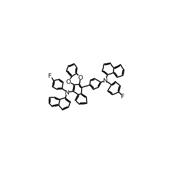 Fc1ccc(N(c2ccc(-c3c4c(c(N(c5ccc(F)cc5)c5cccc6ccccc56)c5ccccc35)Oc3ccccc3O4)cc2)c2cccc3ccccc23)cc1